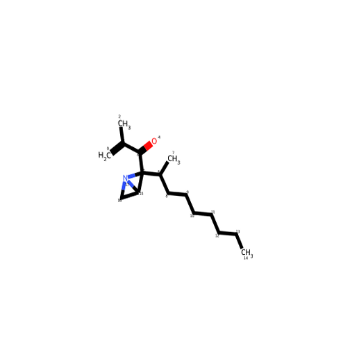 C=C(C)C(=O)C1(C(C)CCCCCCC)C2CN21